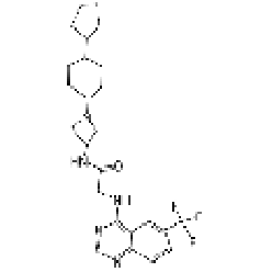 O=C(CNc1ncnc2ccc(C(F)(F)F)cc12)NC1CN(C2CCC(C3CCCC3)CC2)C1